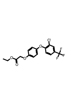 CCOC(=O)COc1ccc(Oc2ccc(C(F)(F)F)cc2Cl)cc1